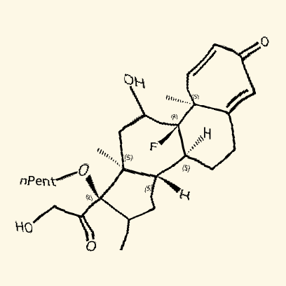 CCCCCO[C@]1(C(=O)CO)C(C)C[C@H]2[C@@H]3CCC4=CC(=O)C=C[C@]4(C)[C@@]3(F)C(O)C[C@@]21C